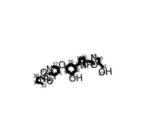 O=S(=O)(c1ccc(Oc2cc(O)cc(-c3ccc(C4=NCC(CO)O4)[nH]3)c2)cn1)N1CCC1